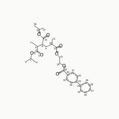 CC(C)OC(=O)C(C)C(CC(C)C(=O)OCCOC(=O)c1ccc(-c2ccccc2)cc1)C(=O)OC(C)C